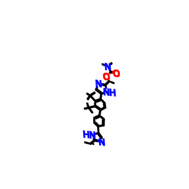 C[CH]c1ncc(-c2ccc(-c3ccc(-c4cnc([C@H](C)OC(=O)N(C)C)[nH]4)c(C(C)(C)C)c3C(C)(C)C)cc2)[nH]1